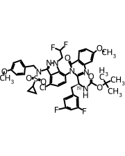 COc1ccc(CN(c2nn(CC(F)F)c3c(-n4c([C@H](Cc5cc(F)cc(F)c5)NC(=O)OC(C)(C)C)nc5cc(OC)ccc5c4=O)ccc(Cl)c23)S(=O)(=O)C2CC2)cc1